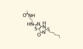 CCCCCSc1nc(=O)c2sc(NCCNC(C)=O)nc2[nH]1